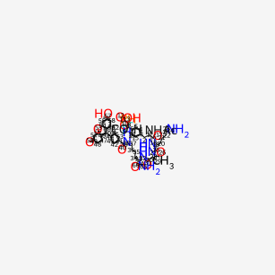 CC(=O)NC(Cc1ccc(C(F)(F)O[PH](=O)O)cc1)C(=O)NC(CCCCN)C(=O)NC(C)C(=O)NC(CCCCNC(=O)c1ccc(-c2c3ccc(=O)cc-3oc3cc(O)ccc23)c(C(=O)O)c1)C(N)=O